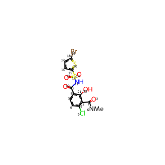 CNC(=O)c1c(Cl)ccc(C(=O)NS(=O)(=O)c2ccc(Br)s2)c1O